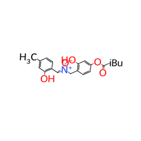 CCC(C)C(=O)Oc1ccc(C/[N+]([O-])=C/c2ccc(C)cc2O)c(O)c1